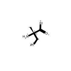 CCC(=O)[C@@](C)(N)CC(C)C